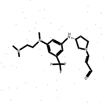 CN(C)CCN(C)c1cc(N[C@@H]2CCN(C=CC=O)C2)cc(C(F)(F)F)c1